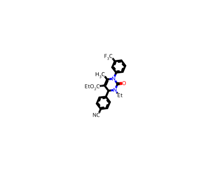 CCOC(=O)C1=C(C)N(c2cccc(C(F)(F)F)c2)C(=O)N(CC)C1c1ccc(C#N)cc1